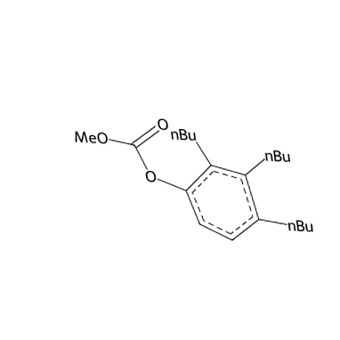 CCCCc1ccc(OC(=O)OC)c(CCCC)c1CCCC